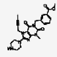 CC#CCn1c(N2CCNCC2)nc2c1c(=O)n(Cc1cccc(C(=O)OC)c1)c(=O)n2C